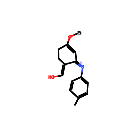 CCOC1=C/C(=N/c2ccc(C)cc2)C(=CO)CC1